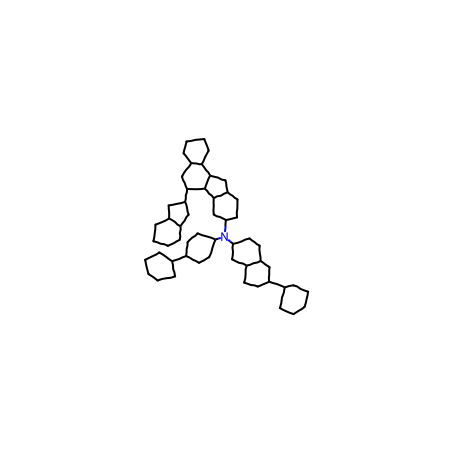 C1CCC(C2CCC(N(C3CCC4CC(C5CCCCC5)CCC4C3)C3CCC4CC5C6CCCCC6CC(C6CC7CCCCC7C6)C5C4C3)CC2)CC1